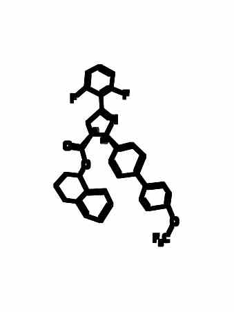 O=C(OC1CCCc2ccccc21)[C@H]1CC(c2c(F)cccc2F)=N[C@H]1c1ccc(-c2ccc(OC(F)(F)F)cc2)cc1